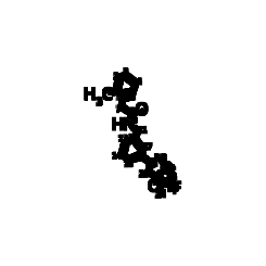 Cc1ccccc1CC(=O)NCc1cccc(C2=NOC(O)(C(F)(F)F)C2)c1